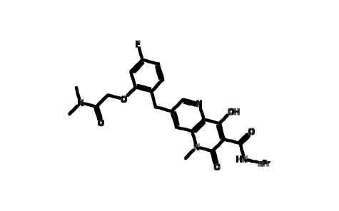 CCCNC(=O)c1c(O)c2ncc(Cc3ccc(F)cc3OCC(=O)N(C)C)cc2n(C)c1=O